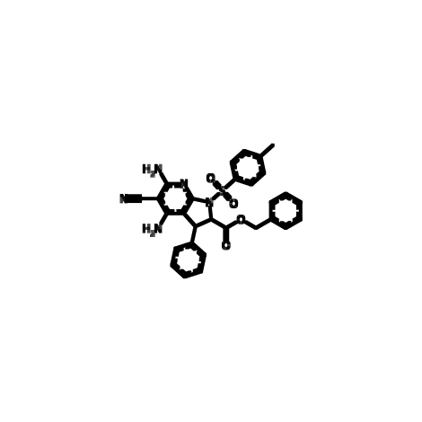 Cc1ccc(S(=O)(=O)N2c3nc(N)c(C#N)c(N)c3C(c3ccccc3)C2C(=O)OCc2ccccc2)cc1